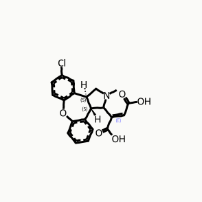 CN1C[C@@H]2c3cc(Cl)ccc3Oc3ccccc3[C@H]2C1/C(=C\C(=O)O)C(=O)O